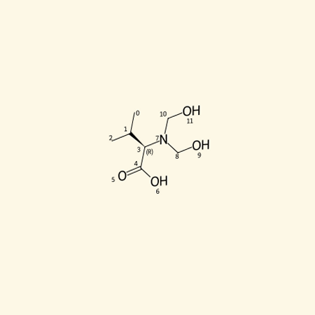 CC(C)[C@H](C(=O)O)N(CO)CO